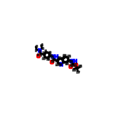 CCN(CC)C(=O)c1ccc(NC(=O)c2cnc3cc(NC(=O)OC(C)(C)C)ccc3c2)cc1